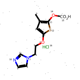 Cc1cc(OCCn2ccnc2)sc1OC(=O)O.Cl